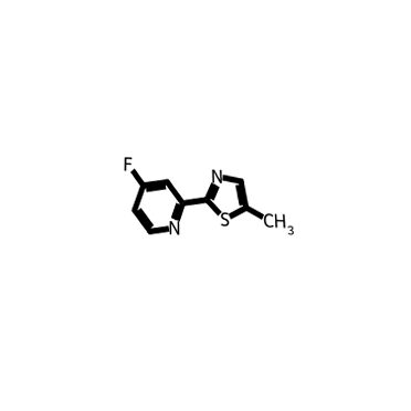 Cc1cnc(-c2cc(F)ccn2)s1